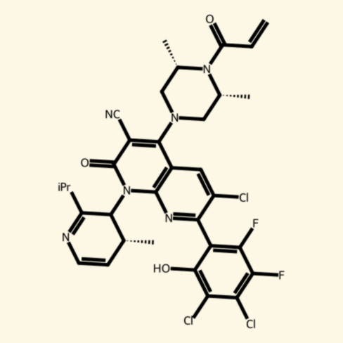 C=CC(=O)N1[C@H](C)CN(c2c(C#N)c(=O)n(C3C(C(C)C)=NC=C[C@H]3C)c3nc(-c4c(O)c(Cl)c(Cl)c(F)c4F)c(Cl)cc23)C[C@@H]1C